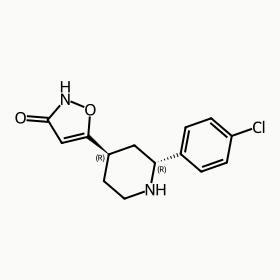 O=c1cc([C@@H]2CCN[C@@H](c3ccc(Cl)cc3)C2)o[nH]1